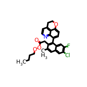 CCCCOOC(=O)Cc1c(C)cc2cc(Cl)c(F)cc2c1-c1ccc2c3c(ccnc13)CCO2